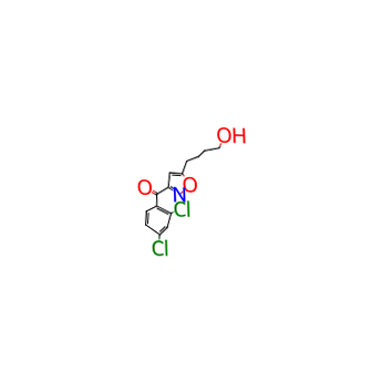 O=C(c1cc(CCCCO)on1)c1ccc(Cl)cc1Cl